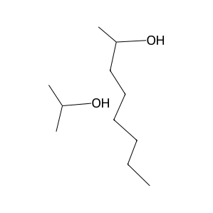 CC(C)O.CCCCCCC(C)O